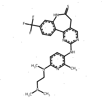 Cc1nc(N(C)CCN(C)C)ccc1Nc1ncc2c(n1)-c1ccc(C(F)(F)F)cc1NC(=S)C2